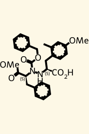 COC(=O)[C@H](Cc1ccccc1)N(N[C@@H](Cc1ccc(OC)cc1C)C(=O)O)C(=O)OCc1ccccc1